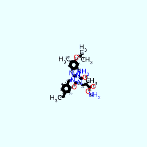 CCc1ccc(Cn2c(=O)n(C[C@H](C)C(=O)ON)c(=O)n(N)/c2=N\c2ccc(OC(C)C)c(C)c2)cc1